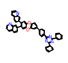 c1ccc(-c2nc(-c3ccccc3)nc(-c3ccc(-c4ccc5c(c4)Oc4cc(-c6ccc7cccnc7c6)c(-c6ccc7cccnc7c6)cc4O5)cc3)n2)cc1